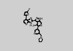 Fc1ccc(-c2ccnc3[nH]c(-c4n[nH]c5cnc(-c6cncc(CN7CCCC7)c6)c(F)c45)nc23)s1